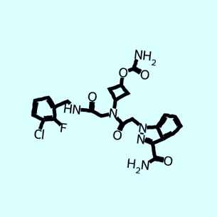 NC(=O)OC1CC(N(CC(=O)NCc2cccc(Cl)c2F)C(=O)Cn2nc(C(N)=O)c3ccccc32)C1